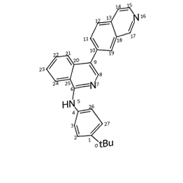 CC(C)(C)c1ccc(Nc2ncc(-c3ccc4ccncc4c3)c3ccccc23)cc1